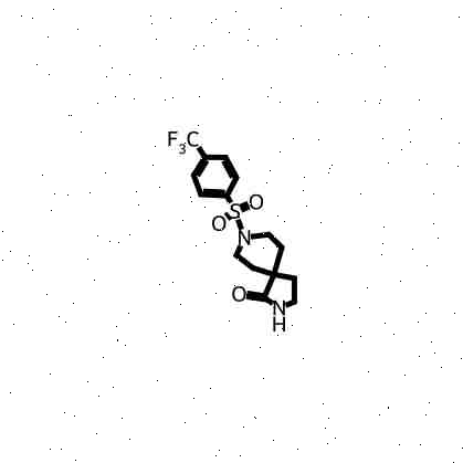 O=C1NCCC12CCN(S(=O)(=O)c1ccc(C(F)(F)F)cc1)CC2